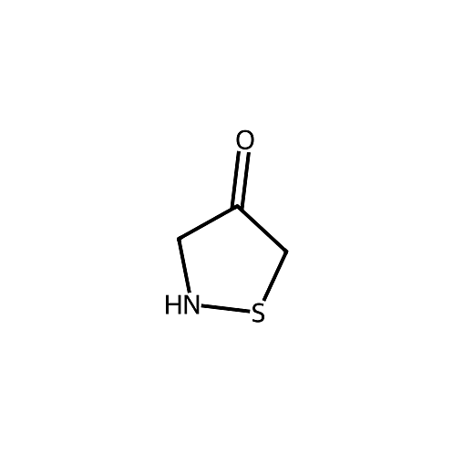 O=C1CNSC1